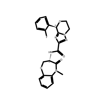 CN1C(=O)[C@@H](NC(=O)c2nc3n(n2)CCO[C@@H]3c2ccccc2F)COc2ccccc21